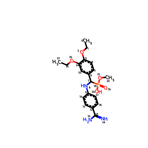 CCOc1ccc(C(Nc2ccc(C(=N)N)cc2)P(=O)(O)OC)cc1OCC